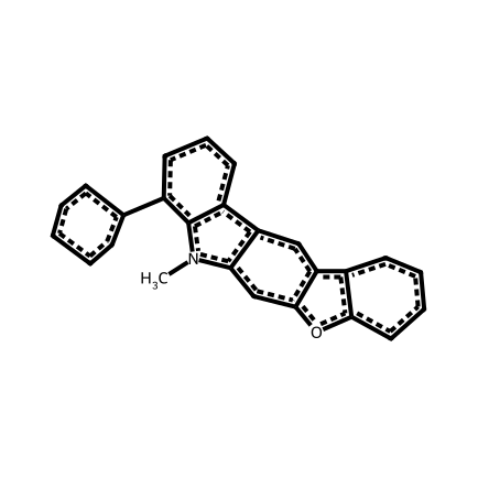 Cn1c2cc3oc4ccccc4c3cc2c2cccc(-c3ccccc3)c21